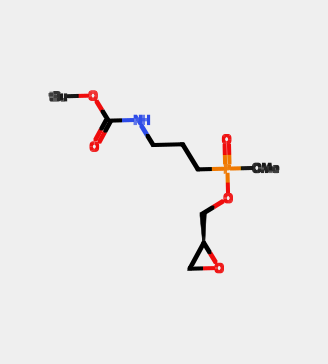 COP(=O)(CCCNC(=O)OC(C)(C)C)OC[C@@H]1CO1